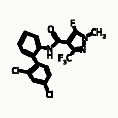 Cn1nc(C(F)(F)F)c(C(=O)Nc2ccccc2-c2ccc(Cl)cc2Cl)c1F